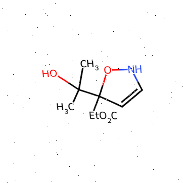 CCOC(=O)C1(C(C)(C)O)C=CNO1